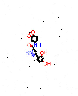 O=C(Nc1ccc2c(c1)OCO2)c1cc(-c2ccc(O)cc2O)n[nH]1